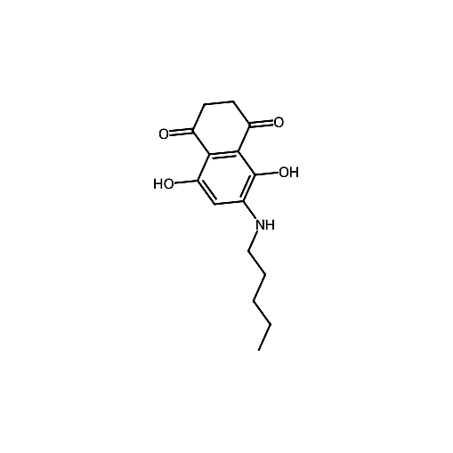 CCCCCNc1cc(O)c2c(c1O)C(=O)CCC2=O